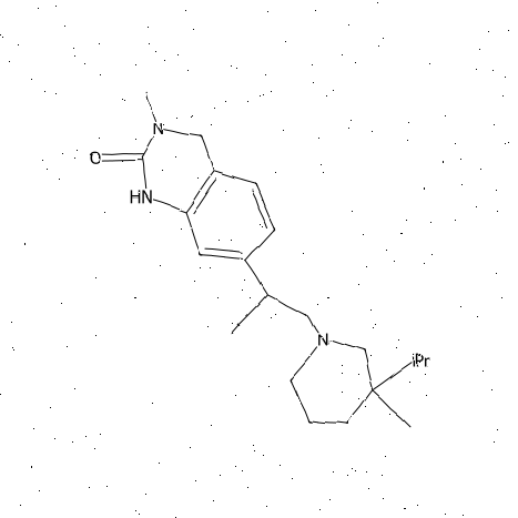 CC(CN1CCCC(C)(C(C)C)C1)c1ccc2c(c1)NC(=O)N(C)C2